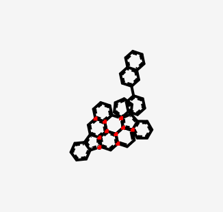 C1=CC(c2cccc3c2oc2ccccc23)C(N(c2cccc(-c3ccc4ccccc4c3)c2)c2ccccc2-c2ccccc2-n2c3ccccc3c3ccccc32)C=C1